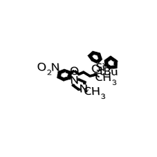 C[C@@H](CCCOc1cc([N+](=O)[O-])ccc1N1CCN(C)CC1)O[Si](c1ccccc1)(c1ccccc1)C(C)(C)C